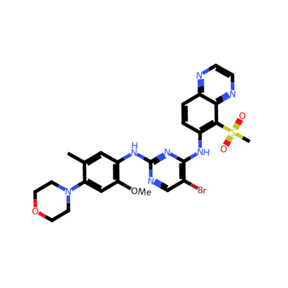 COc1cc(N2CCOCC2)c(C)cc1Nc1ncc(Br)c(Nc2ccc3nccnc3c2S(C)(=O)=O)n1